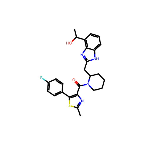 Cc1nc(C(=O)N2CCCCC2Cc2nc3c(C(C)O)cccc3[nH]2)c(-c2ccc(F)cc2)s1